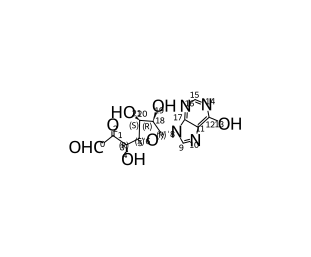 O=CC(=O)[C@H](O)[C@H]1O[C@@H](n2cnc3c(O)ncnc32)[C@H](O)[C@@H]1O